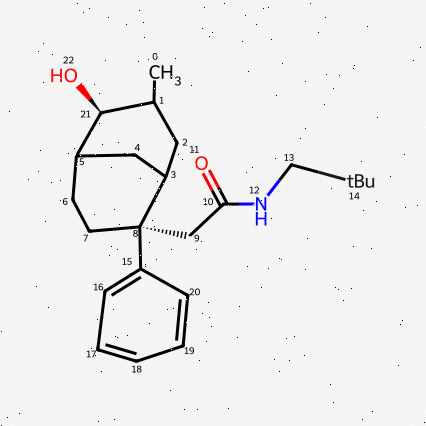 CC1CC2CC(CC[C@]2(CC(=O)NCC(C)(C)C)c2ccccc2)[C@H]1O